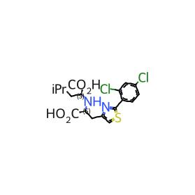 CC(C)C[C@H](N[C@@H](Cc1csc(-c2ccc(Cl)cc2Cl)n1)C(=O)O)C(=O)O